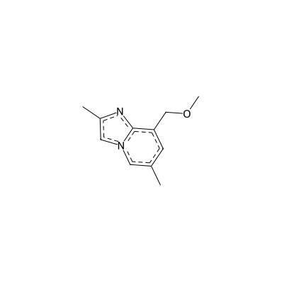 COCc1cc(C)cn2cc(C)nc12